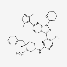 Cc1noc(C)c1-c1ccc2c(-c3nc(N[C@H]4CC[C@@](C)(Cc5ccccc5)N(C(=O)O)C4)ncc3C(F)(F)F)nn(C3CCCCO3)c2n1